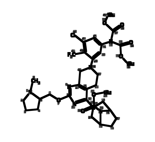 CN1CCCC1COc1nc2c(c(N3CC4CCC(C3)N4C(=O)OC(C)(C)C)n1)CCN(c1cc(N(C(=O)OC(C)(C)C)C(=O)OC(C)(C)C)cc(Cl)c1C(F)(F)F)C2